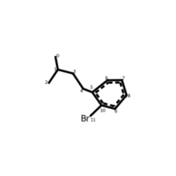 CC(C)CCc1cc[c]cc1Br